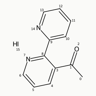 CC(=O)c1cccnc1-c1ccccn1.I